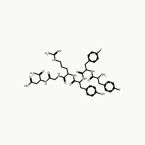 N=C(N)NCCCC(NC(=O)C(Cc1ccc(O)cc1)NC(=O)C(Cc1ccc(F)cc1)NC(=O)C(N)Cc1ccc(F)cc1)C(=O)NCC(=O)NC(CC(=O)O)C(N)=O